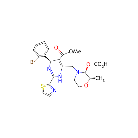 COC(=O)C1=C(CN2CCO[C@H](C)[C@@H]2OC(=O)O)NC(c2nccs2)=N[C@H]1c1ccccc1Br